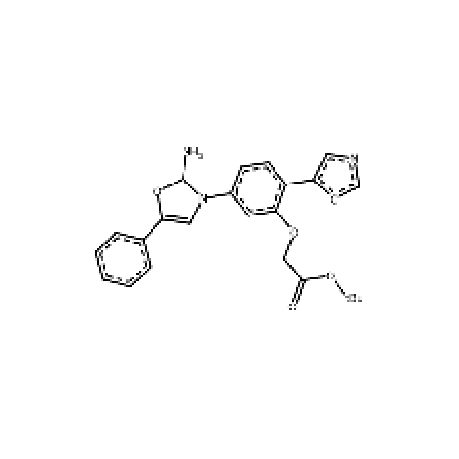 CC(C)(C)OC(=O)COc1cc(N2C=C(c3ccccc3)OC2N)ccc1-c1cnco1